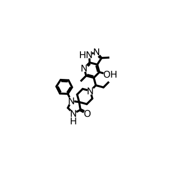 CCC(c1c(C)nc2[nH]nc(C)c2c1O)N1CCC2(CC1)C(=O)NCN2c1ccccc1